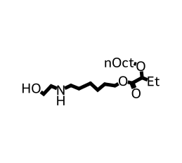 CCCCCCCCOC(CC)C(=O)OCCCCCCNCCO